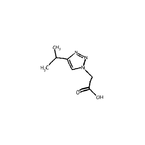 CC(C)c1cn(CC(=O)O)nn1